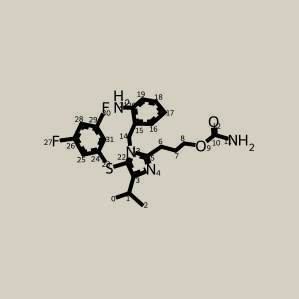 CC(C)c1nc(CCCOC(N)=O)n(Cc2ccccc2N)c1Sc1cc(F)cc(F)c1